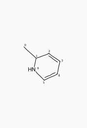 CC1C=C[C]=CN1